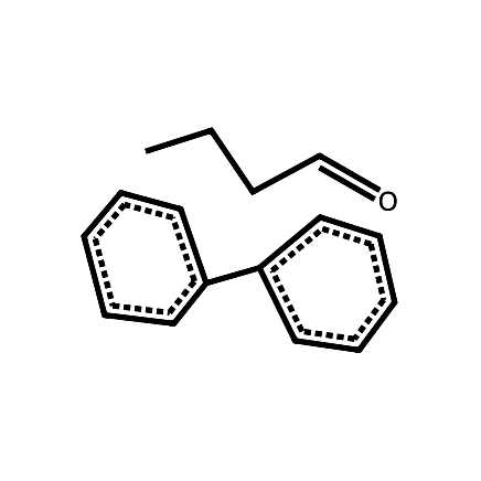 CCCC=O.c1ccc(-c2ccccc2)cc1